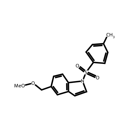 COOCc1ccc2c(ccn2S(=O)(=O)c2ccc(C)cc2)c1